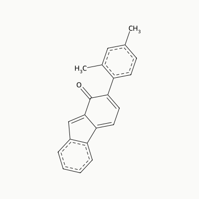 Cc1ccc(C2=CC=C3C(=Cc4ccccc43)C2=O)c(C)c1